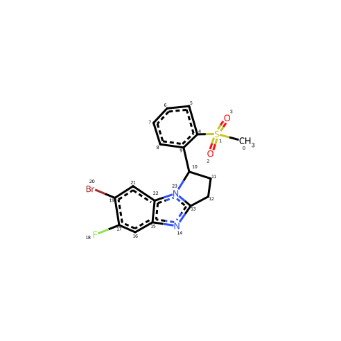 CS(=O)(=O)c1ccccc1C1CCc2nc3cc(F)c(Br)cc3n21